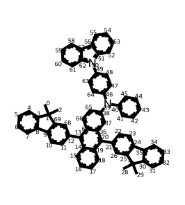 CC1(C)c2ccccc2-c2ccc(-c3c4ccccc4c(-c4ccc5c(c4)C(C)(C)c4ccccc4-5)c4cc(N(c5ccccc5)c5ccc(-n6c7ccccc7c7ccccc76)cc5)ccc34)cc21